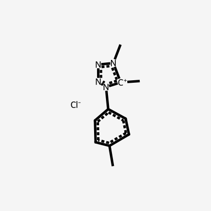 Cc1ccc(-n2nnn(C)[c+]2C)cc1.[Cl-]